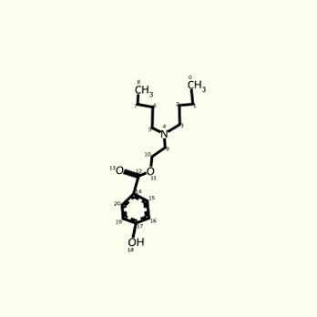 CCCCN(CCCC)CCOC(=O)c1ccc(O)cc1